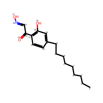 CCCCCCCCCc1ccc(C(=O)C=NO)c(O)c1